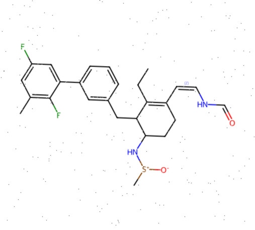 CCC1=C(/C=C\NC=O)CCC(N[S+](C)[O-])C1Cc1cccc(-c2cc(F)cc(C)c2F)c1